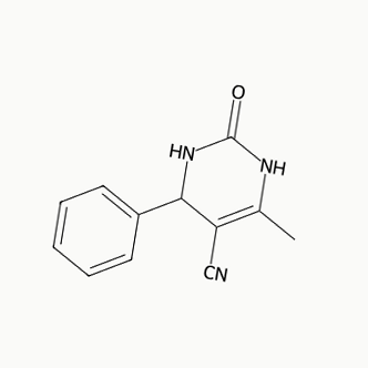 CC1=C(C#N)C(c2ccccc2)NC(=O)N1